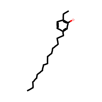 CCCCCCCCCCCCCCc1ccc(CC)c([O])c1